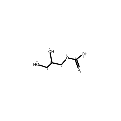 OCC(O)COC(O)=S